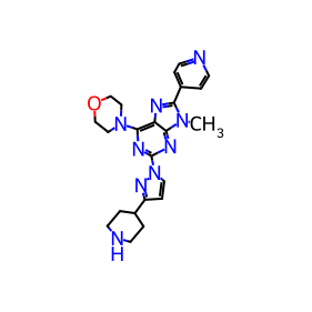 Cn1c(-c2ccncc2)nc2c(N3CCOCC3)nc(-n3ccc(C4CCNCC4)n3)nc21